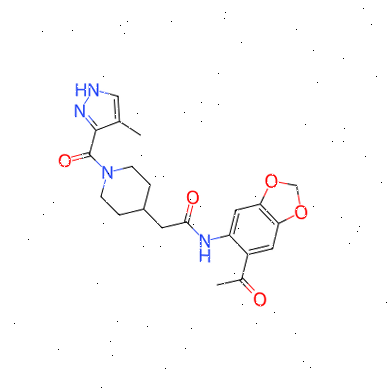 CC(=O)c1cc2c(cc1NC(=O)CC1CCN(C(=O)c3n[nH]cc3C)CC1)OCO2